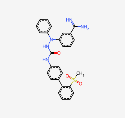 CS(=O)(=O)c1ccccc1-c1ccc(NC(=O)NN(c2ccccc2)c2cccc(C(=N)N)c2)cc1